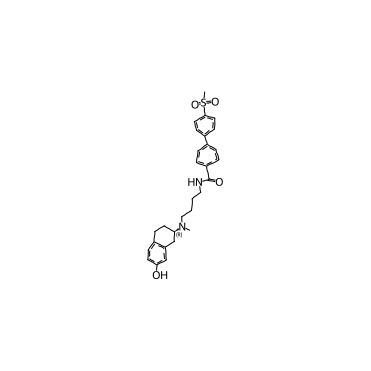 CN(CCCCNC(=O)c1ccc(-c2ccc(S(C)(=O)=O)cc2)cc1)[C@@H]1CCc2ccc(O)cc2C1